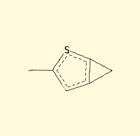 Cc1cc2c(s1)C2